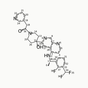 C[C@@H](Nc1ccnc2cnc(C3(O)CCN(C(=O)Cc4cccnc4)CC3)cc12)c1cccc(C(F)F)c1F